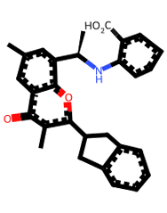 Cc1cc([C@@H](C)Nc2ccccc2C(=O)O)c2oc(C3Cc4ccccc4C3)c(C)c(=O)c2c1